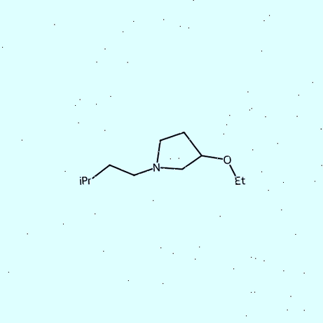 CCOC1CCN(CCC(C)C)C1